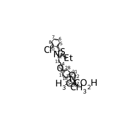 CCc1sc(-c2ccccc2Cl)nc1CCOc1ccc2c(ccn2C(C)(C)C(=O)O)c1